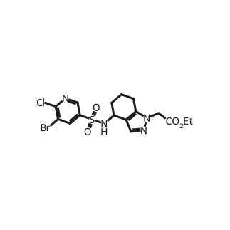 CCOC(=O)Cn1ncc2c1CCCC2NS(=O)(=O)c1cnc(Cl)c(Br)c1